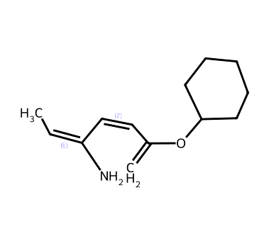 C=C(/C=C\C(N)=C/C)OC1CCCCC1